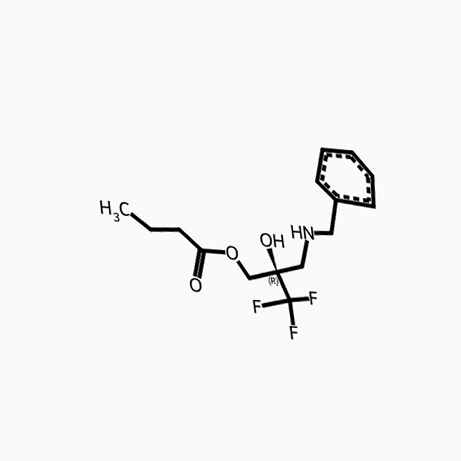 CCCC(=O)OC[C@](O)(CNCc1ccccc1)C(F)(F)F